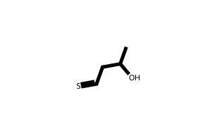 CC(O)CC=S